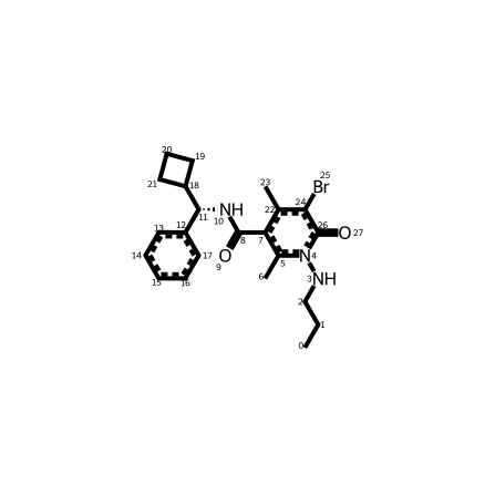 CCCNn1c(C)c(C(=O)N[C@H](c2ccccc2)C2CCC2)c(C)c(Br)c1=O